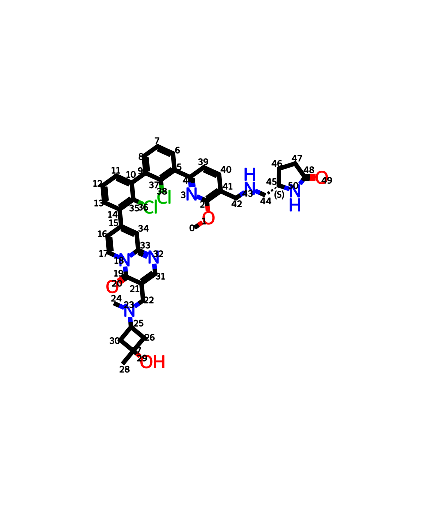 COc1nc(-c2cccc(-c3cccc(-c4ccn5c(=O)c(CN(C)C6CC(C)(O)C6)cnc5c4)c3Cl)c2Cl)ccc1CNC[C@@H]1CCC(=O)N1